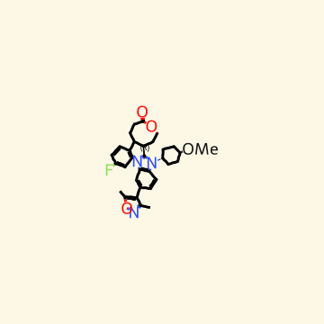 CO[C@H]1CC[C@H](n2c([C@@H]3CCOC(=O)CCC3c3ccc(F)cc3)nc3cc(-c4c(C)noc4C)ccc32)CC1